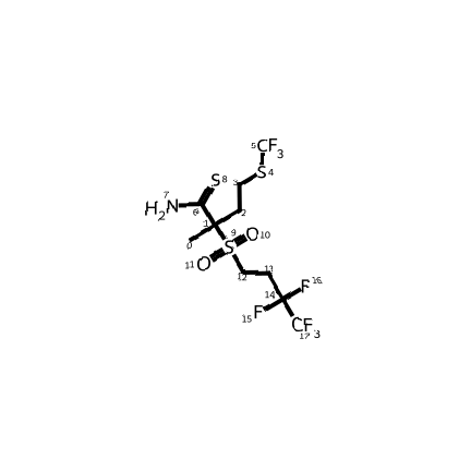 CC(CCSC(F)(F)F)(C(N)=S)S(=O)(=O)CCC(F)(F)C(F)(F)F